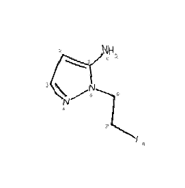 Nc1ccnn1CCI